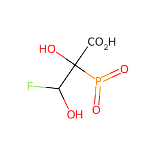 O=C(O)C(O)(C(O)F)P(=O)=O